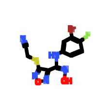 N#CCSc1nonc1/C(=N\O)Nc1ccc(F)c(Br)c1